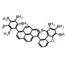 Bc1c(B)c(B)c(-c2ccc3ccc4c(-c5cccc6oc7c(B)c(B)c(B)c(B)c7c56)ccc5ccc2c3c54)c(B)c1B